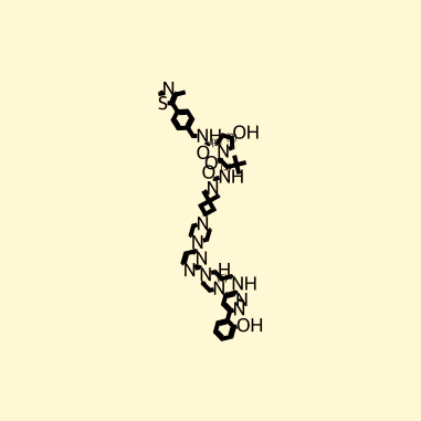 Cc1ncsc1-c1ccc(CNC(=O)[C@@H]2C[C@@H](O)CN2C(=O)[C@@H](NC(=O)N2CC3(CC(N4CCN(c5ccnc(N6CCN7c8cc(-c9ccccc9O)nnc8NC[C@H]7C6)n5)CC4)C3)C2)C(C)(C)C)cc1